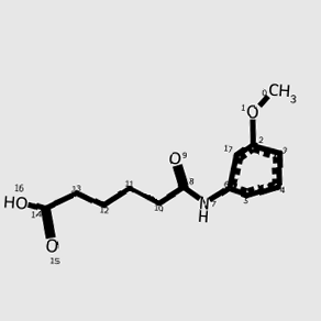 COc1cccc(NC(=O)CCCCC(=O)O)c1